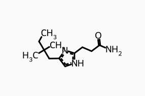 CCC(C)(C)Cc1c[nH]c(CCC(N)=O)n1